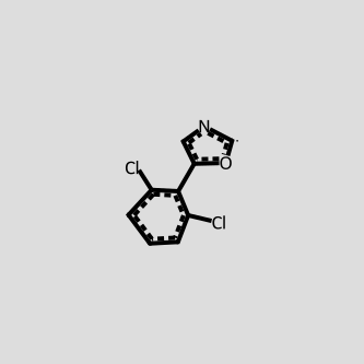 Clc1cccc(Cl)c1-c1cn[c]o1